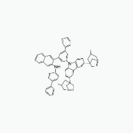 CC1CC2=CCC(c3ccc4c(c3)c3cc(C56CC=C(CC(C)C5)C6)ccc3n4-c3cc(-c4ccccc4)cc(-c4cc5ccccc5cc4Nc4ccc(-c5ccccc5)cc4)c3)(C2)C1